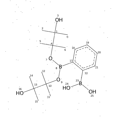 CC(C)(O)C(C)(C)OB(OC(C)(C)C(C)(C)O)c1ccccc1B(O)O